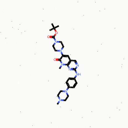 CN1CCN(c2ccc(Nc3ncc4cc(N5CCN(C(=O)OC(C)(C)C)CC5)c(=O)n(C)c4n3)cc2)CC1